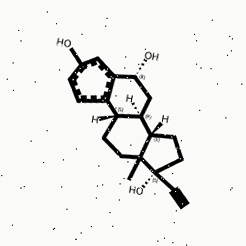 C#C[C@]1(O)CC[C@H]2[C@@H]3C[C@@H](O)c4cc(O)ccc4[C@H]3CCC21C